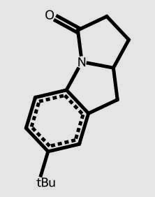 CC(C)(C)c1ccc2c(c1)CC1CCC(=O)N21